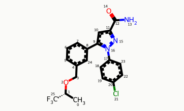 C[C@@H](OCc1cccc(-c2cc(C(N)=O)nn2-c2ccc(Cl)cc2)c1)C(F)(F)F